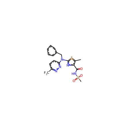 Cc1sc(N(Cc2ccccc2)c2ccc(C(F)(F)F)nn2)nc1C(=O)NS(C)(=O)=O